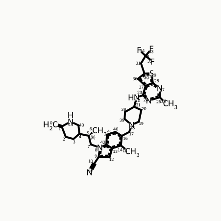 C=C1CCC([C@@H](C)Cn2c(C#N)cc3c(C)c(CN4CCC(Nc5nc(C)nc6sc(CC(F)(F)F)cc56)CC4)ccc32)CN1